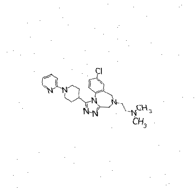 CN(C)CCN1Cc2cc(Cl)ccc2-n2c(nnc2C2CCN(c3ccccn3)CC2)C1